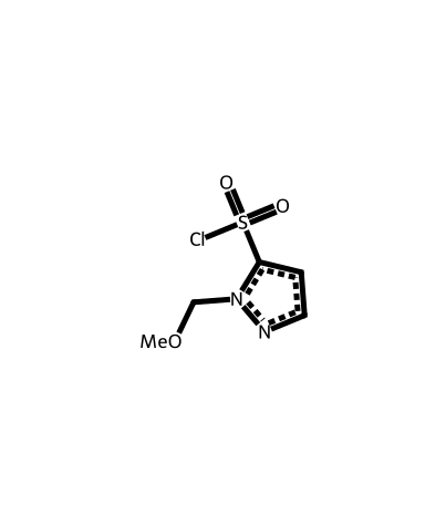 COCn1nccc1S(=O)(=O)Cl